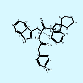 C[C@@](Cc1c[nH]c2ccccc12)(NC(=O)Cc1ccc(O)cc1)C(=O)NCC1(c2ccccn2)CCCCC1